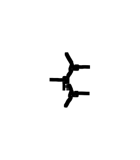 C[SiH]([As](C)C)[As](C)C